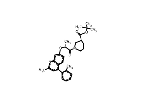 Cc1cc(-c2ccccc2C)c2ccc(O[C@H](C)C(=O)N3CCC[C@H](C(=O)OC(C)(C)C)C3)cc2n1